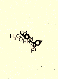 CC(=O)N(C)c1ccc2nc(-c3nn(SF)c4c3CC3CC3C4)[nH]c2c1